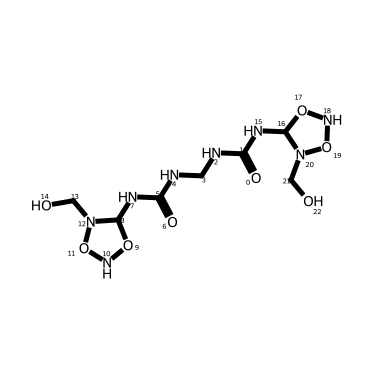 O=C(NCNC(=O)NC1ONON1CO)NC1ONON1CO